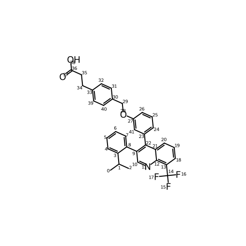 CC(C)c1ccccc1-c1cnc2c(C(F)(F)F)cccc2c1-c1cccc(OCc2ccc(CCC(=O)O)cc2)c1